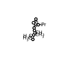 CC(C)c1ccc(N(c2ccc3cc4c(cc3c2)C(C)(C)c2cc3c(cc2-4)C(C)(C)c2ccccc2-3)C2C=CC=C3c4ccccc4OC32)cc1